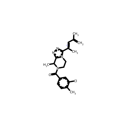 C=C(C)/C=C(\C)c1nnc2n1CCN(C(=O)c1ccc(C)c(Cl)c1)C2C